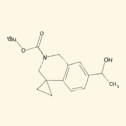 CC(O)c1ccc2c(c1)CN(C(=O)OC(C)(C)C)CC21CC1